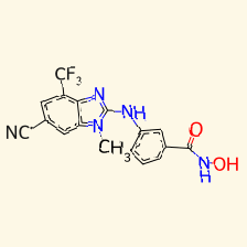 Cn1c(Nc2cccc(C(=O)NO)c2)nc2c(C(F)(F)F)cc(C#N)cc21